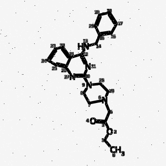 CCOC(=O)CN1CCN(c2nc(NCc3ccccc3)c3ccccc3n2)CC1